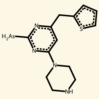 [AsH2]c1nc(Cc2cccs2)cc(N2CCNCC2)n1